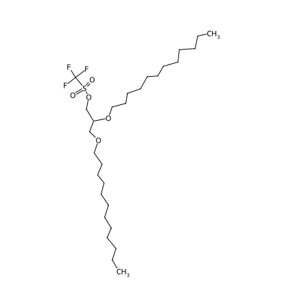 CCCCCCCCCCCCOCC(COS(=O)(=O)C(F)(F)F)OCCCCCCCCCCCC